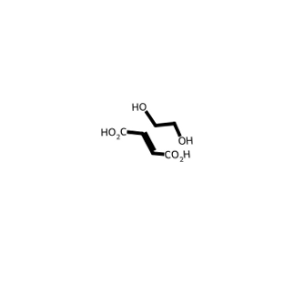 O=C(O)C=CC(=O)O.OCCO